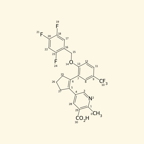 Cc1ncc(C2=C(c3cc(C(F)(F)F)ccc3OCc3cc(F)c(F)cc3F)CCC2)cc1C(=O)O